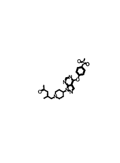 CC(=O)CC(C)CN1CCC(n2ncc3c(Oc4ccc(S(C)(=O)=O)cc4)ncnc32)CC1